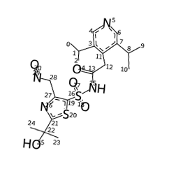 CC(C)c1cncc(C(C)C)c1CC(=O)NS(=O)(=O)c1sc(C(C)(C)O)nc1CN=O